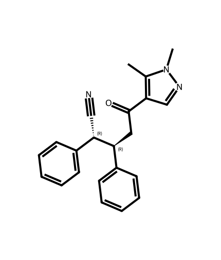 Cc1c(C(=O)C[C@@H](c2ccccc2)[C@@H](C#N)c2ccccc2)cnn1C